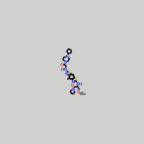 Cc1c2nc(NCC(=O)N3CCN(C4CCCC4)CC3)sc2cc2sc(NC(COC(C)(C)C)C(=O)N3CCCC3)nc12